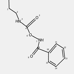 CCCNC(=O)ONC(=O)c1ccccc1